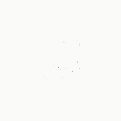 FS(F)(F)(F)(F)c1cccc(N2CCNCC2)c1